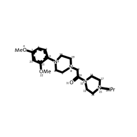 COc1ccc(N2CCN(CC(=O)N3CCN(C(C)C)CC3)CC2)c(OC)c1